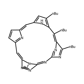 CCCCC1=Nc2nc1c(CCCC)c1[nH]c(cc3nc(cc4nnc(n2)n4CCCC)C=C3)cc1CCCC